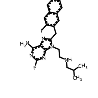 CC(C)CNCCn1c(Cc2cc3ccccc3cc2I)nc2c(N)nc(F)nc21